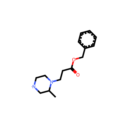 CC1C[N]CCN1CCC(=O)OCc1ccccc1